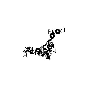 CNc1ncnc2c1ccn2[C@@H]1C[C@H](CN(CCCN(CCc2ccc(Oc3ccc(Cl)cc3)c(F)c2)C(=O)OC(C)(C)C)CC[C@H](NC(=O)OC(C)(C)C)C(=O)O)[C@H]2OC(C)(C)O[C@H]21